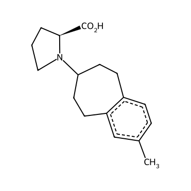 Cc1ccc2c(c1)CCC(N1CCC[C@H]1C(=O)O)CC2